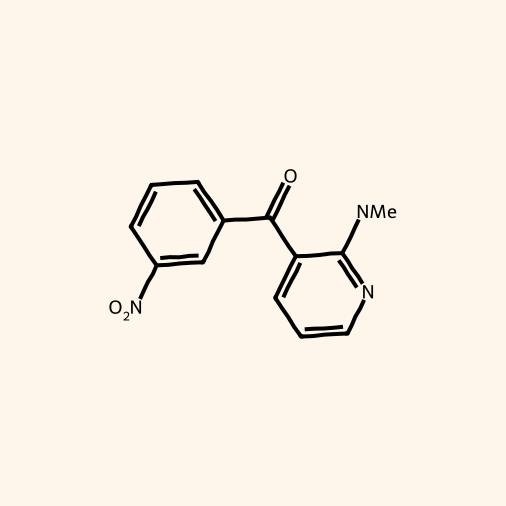 CNc1ncccc1C(=O)c1cccc([N+](=O)[O-])c1